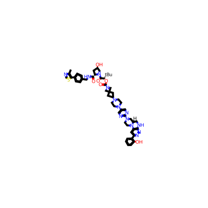 Cc1ncsc1-c1ccc(CNC(=O)[C@@H]2C[C@@H](O)CN2C(=O)[C@@H](OC(=O)N2CC3(CC(N4CCN(c5cnc(N6CCN7c8cc(-c9ccccc9O)nnc8NC[C@H]7C6)nc5)CC4)C3)C2)C(C)(C)C)cc1